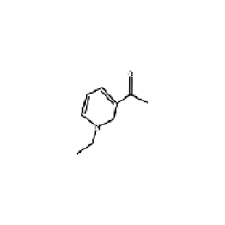 CCN1C=CC=C(C(C)=O)C1